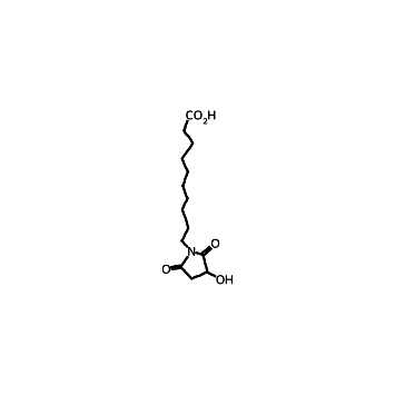 O=C(O)CCCCCCCCCN1C(=O)CC(O)C1=O